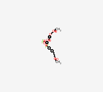 C=CC(=O)OCCCCCC1CCC(C2CCC(C(F)(F)Oc3ccc(OC(=O)c4ccc(OCCCOC(=O)C=C)cc4)c4c3OC(F)(F)O4)CC2)CC1